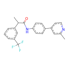 Cc1cc(-c2ccc(NC(=O)C(C)c3cccc(C(F)(F)F)c3)cc2)ccn1